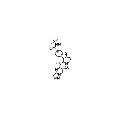 COc1cn2nccc2nc1Nc1ncnc2sc3c(c12)CC[C@H](C(=O)NC(C)(C)C)C3